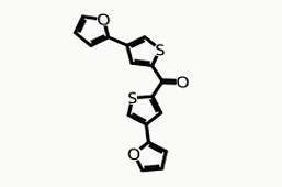 O=C(c1cc(-c2ccco2)cs1)c1cc(-c2ccco2)cs1